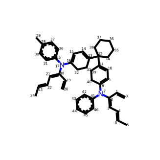 C=C/C(=C\C=C\C)N(C1=CC=C(C2(C3=CC=C(N(/C(C=C)=C/C=C/C)c4ccc(C)cc4)CC3)CCCCC2)CC1)c1ccccc1